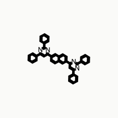 c1ccc(-c2cc(-c3ccc4cc(-c5cc(-c6ccccc6)nc(-c6ccccc6)n5)ccc4c3)nc(-c3ccccc3)n2)cc1